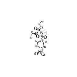 CCOP(=O)(NS(=O)(=O)c1ccc([N+](=O)[O-])cc1)OCC